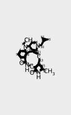 CCN(c1cccc2c1CC=CCCc1cc(C)[nH]c(=O)c1CNC2=O)C1CCN(CC2CC2)CC1